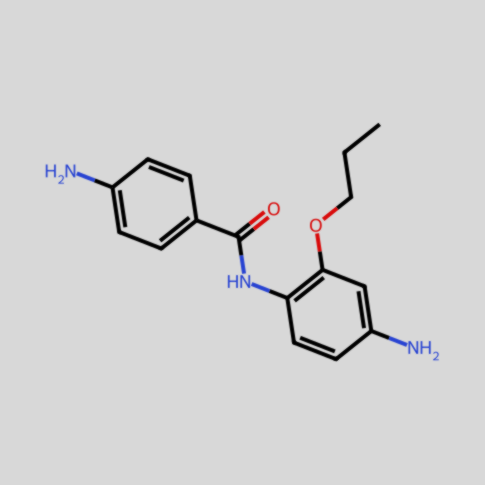 CCCOc1cc(N)ccc1NC(=O)c1ccc(N)cc1